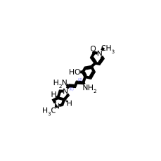 CN1C[C@@H]2CN(/C(N)=C/C=C(\N)c3ccc(-c4ccn(C)c(=O)c4)cc3O)C[C@@H]2C1